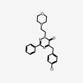 O=c1c(Cc2ccc(Cl)cc2)nc(-c2ccccc2)nn1CCN1CCOCC1